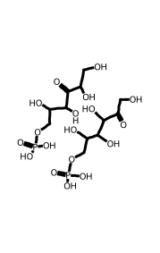 O=C(C(O)CO)C(O)C(O)COP(=O)(O)O.O=C(CO)C(O)C(O)C(O)COP(=O)(O)O